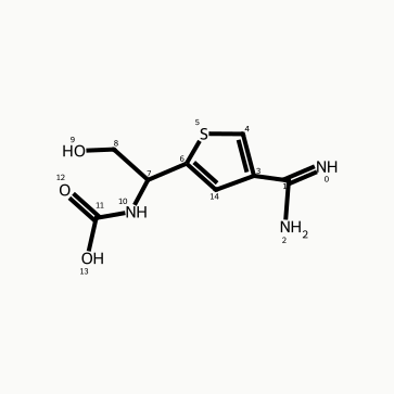 N=C(N)c1csc(C(CO)NC(=O)O)c1